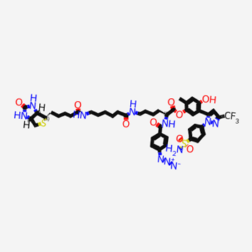 Cc1cc(O)c(-c2cc(C(F)(F)F)nn2-c2ccc(S(N)(=O)=O)cc2)cc1OC(=O)[C@H](CCCCNC(=O)CCCCCNC(=O)CCCC[C@@H]1SC[C@@H]2NC(=O)N[C@H]21)NC(=O)c1ccc(N=[N+]=[N-])cc1